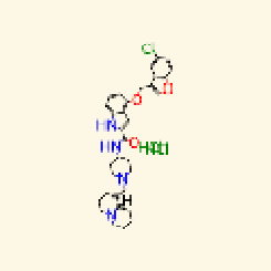 Cl.Cl.O=C(NC1CCN(C[C@@H]2CCCN3CCCC[C@H]23)CC1)c1cc2c(OCc3coc4ccc(Cl)cc34)cccc2[nH]1